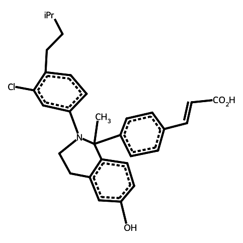 CC(C)CCc1ccc(N2CCc3cc(O)ccc3C2(C)c2ccc(/C=C/C(=O)O)cc2)cc1Cl